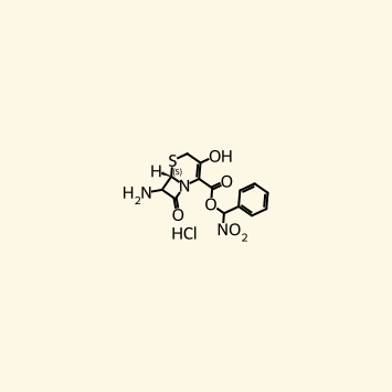 Cl.NC1C(=O)N2C(C(=O)OC(c3ccccc3)[N+](=O)[O-])=C(O)CS[C@@H]12